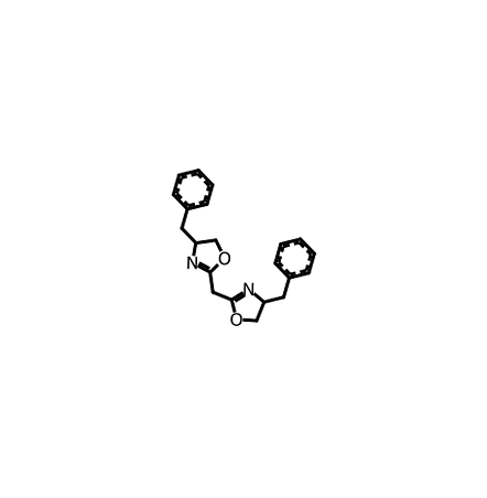 c1ccc(CC2COC(CC3=NC(Cc4ccccc4)CO3)=N2)cc1